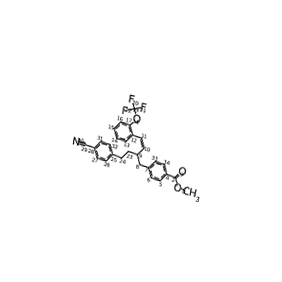 COC(=O)c1ccc(CC(/C=C\c2ccccc2OC(F)(F)F)CCc2ccc(C#N)cc2)cc1